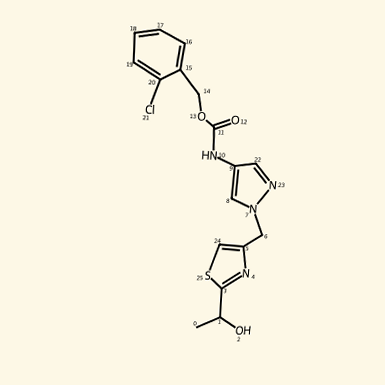 CC(O)c1nc(Cn2cc(NC(=O)OCc3ccccc3Cl)cn2)cs1